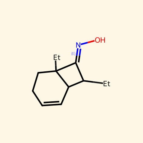 CCC1/C(=N\O)C2(CC)CCC=CC12